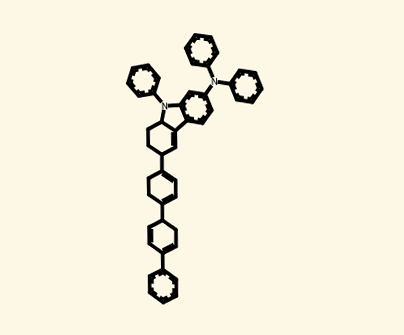 C1=CC(C2=CC=C(C3C=C4c5ccc(N(c6ccccc6)c6ccccc6)cc5N(c5ccccc5)C4CC3)CC2)CC=C1c1ccccc1